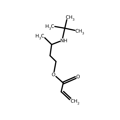 C=CC(=O)OCCC(C)NC(C)(C)C